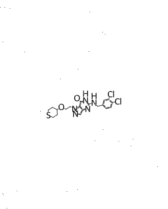 O=c1[nH]c(NCc2ccc(Cl)c(Cl)c2)nc2cnn(CCOC3CCSCC3)c12